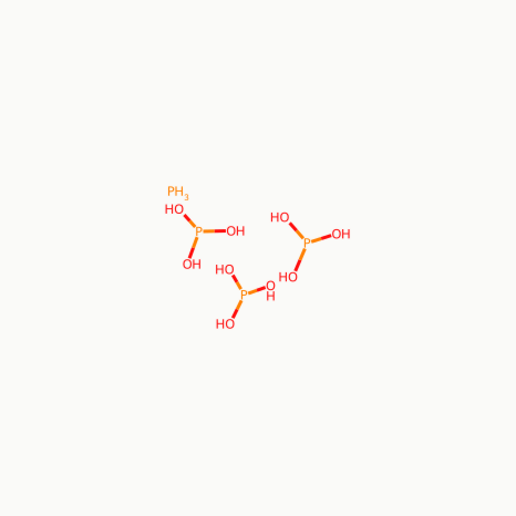 OP(O)O.OP(O)O.OP(O)O.P